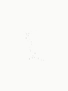 CC(C)(C)c1ccc(N(c2ccccc2)c2ccc3cc4c(cc3c2)oc2cc3c(cc24)oc2cc4c(cc23)C=CC(N(C2=CC=CCC2)c2ccc(C(C)(C)C)cc2)C4)cc1